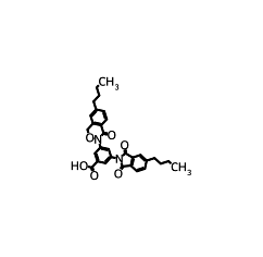 CCCCc1ccc2c(c1)CON(c1cc(C(=O)O)cc(N3C(=O)c4ccc(CCCC)cc4C3=O)c1)C2=O